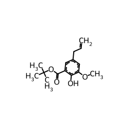 C=CCc1cc(OC)c(O)c(C(=O)OC(C)(C)C)c1